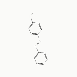 CCOc1ccc(N=Nc2[c]c[c]cc2)cc1